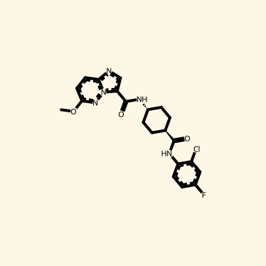 COc1ccc2ncc(C(=O)N[C@H]3CC[C@H](C(=O)Nc4ccc(F)cc4Cl)CC3)n2n1